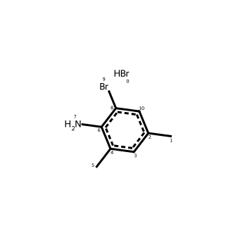 Br.Cc1cc(C)c(N)c(Br)c1